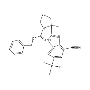 CC1(c2nc3c(C#N)cc(C(F)(F)F)cc3[nH]2)CCCN1C(=O)OCc1ccccc1